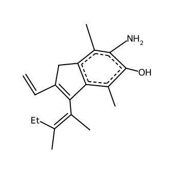 C=CC1=C(/C(C)=C(/C)CC)c2c(C)c(O)c(N)c(C)c2C1